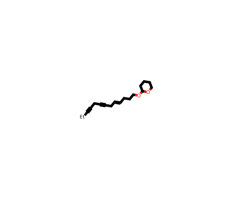 CCC#CCC#CC/C=C/CCCOC1CCCCO1